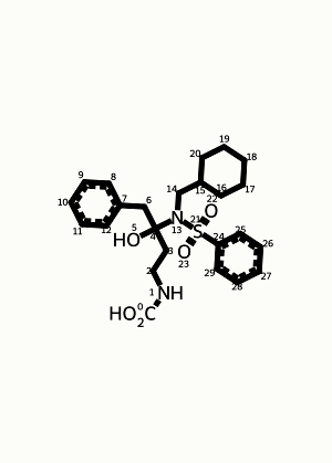 O=C(O)NCCC(O)(Cc1ccccc1)N(CC1CCCCC1)S(=O)(=O)c1ccccc1